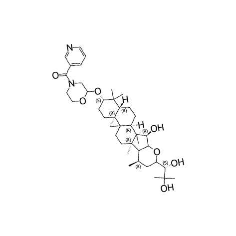 C[C@@H]1CC([C@H](O)C(C)(C)O)OC2C1[C@@]1(C)CCC34C[C@@]35CC[C@H](OC3CN(C(=O)c6cccnc6)CCO3)C(C)(C)[C@@H]5CC[C@H]4C1(C)[C@H]2O